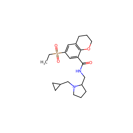 CCS(=O)(=O)c1cc2c(c(C(=O)NCC3CCCN3CC3CC3)c1)OCCC2